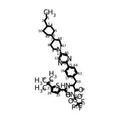 CCCC1CCC(C2CCN(c3cnc(-c4ccc(CC(NC(=O)c5ccc(C(C)(C)C)s5)C(=O)NS(=O)(=O)C(F)(F)F)cc4)nc3)CC2)CC1